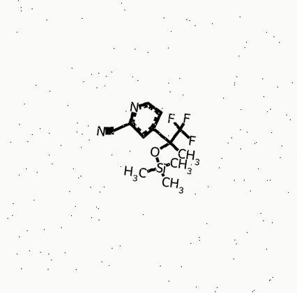 CC(O[Si](C)(C)C)(c1ccnc(C#N)c1)C(F)(F)F